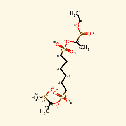 CCOS(=O)C(C)OS(=O)(=O)CCCCCCS(=O)(=O)OC(C)[S+](C)[O-]